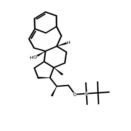 C[C@H](CO[Si](C)(C)C(C)(C)C)[C@H]1CCC2[C@]1(C)CC[C@H]1CC3CC=C/C(=C/C[C@@]21O)C3